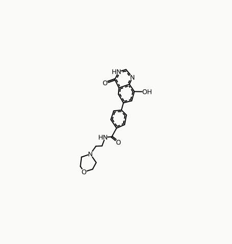 O=C(NCCN1CCOCC1)c1ccc(-c2cc(O)c3nc[nH]c(=O)c3c2)cc1